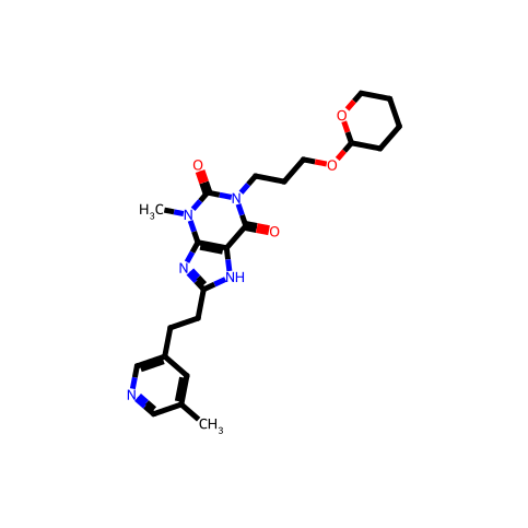 Cc1cncc(CCc2nc3c([nH]2)c(=O)n(CCCOC2CCCCO2)c(=O)n3C)c1